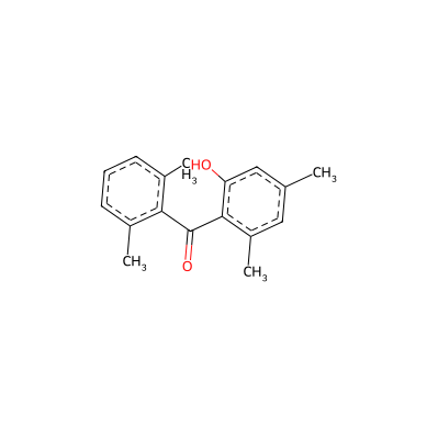 Cc1cc(C)c(C(=O)c2c(C)cccc2C)c(O)c1